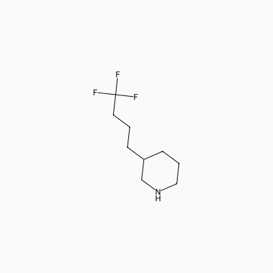 FC(F)(F)CCCC1CCCNC1